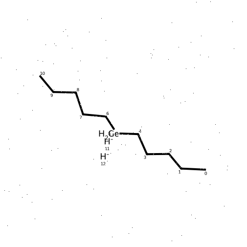 CCCC[CH2][GeH2][CH2]CCCC.[H-].[H-]